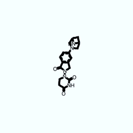 O=C1CCN(N2Cc3cc(N4CC5CC(C4)N5)ccc3C2=O)C(=O)N1